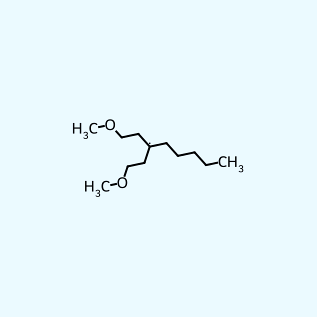 CCCCC[C](CCOC)CCOC